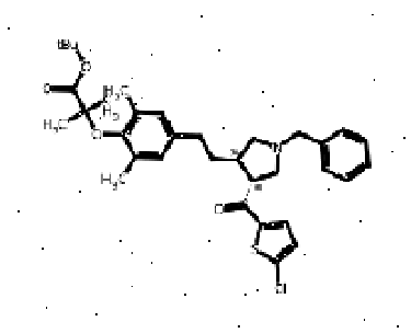 Cc1cc(CC[C@H]2CN(Cc3ccccc3)C[C@@H]2C(=O)c2ccc(Cl)s2)cc(C)c1OC(C)(C)C(=O)OC(C)(C)C